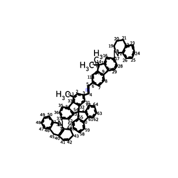 Cc1cc(/C=C/c2ccc3c(c2)C(C)(C)c2cc(N4CCCc5ccccc54)ccc2-3)cc2c1-c1ccc(N3C4=C(C=CCC4)Cc4ccccc43)cc1C21c2ccccc2-c2ccccc21